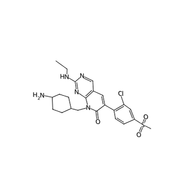 CCNc1ncc2cc(-c3ccc(S(C)(=O)=O)cc3Cl)c(=O)n(CC3CCC(N)CC3)c2n1